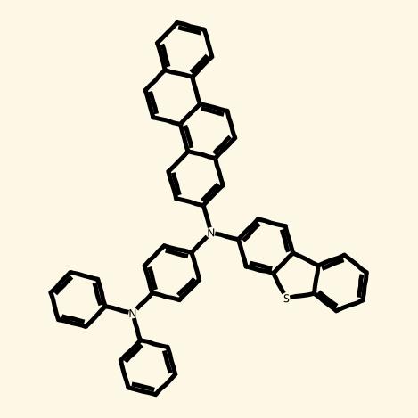 c1ccc(N(c2ccccc2)c2ccc(N(c3ccc4c(ccc5c6ccccc6ccc45)c3)c3ccc4c(c3)sc3ccccc34)cc2)cc1